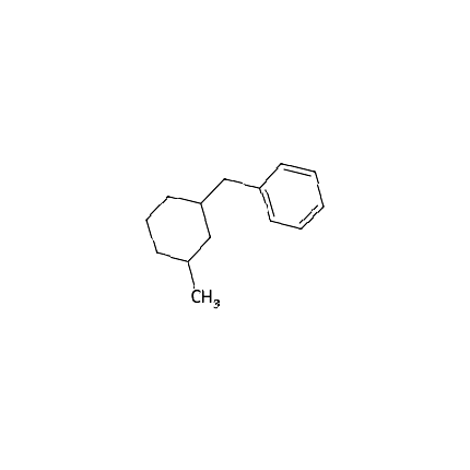 CC1CCCC(Cc2ccccc2)C1